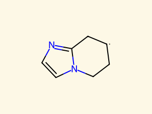 [CH]1CCn2ccnc2C1